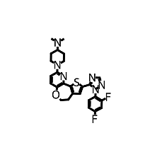 CN(C)C1CCN(c2ccc3c(n2)-c2sc(-c4ncnn4-c4ccc(F)cc4F)cc2CCO3)CC1